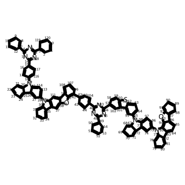 c1ccc(-c2nc(-c3ccccc3)nc(-c3ccc(-n4c5ccccc5c5cc(-n6c7ccccc7c7cc8oc9c(-c%10ccc(-c%11nc(-c%12ccccc%12)nc(-c%12ccc%13sc%14ccc(-n%15c%16ccccc%16c%16cc(-n%17c%18ccccc%18c%18ccc%19c%20ccccc%20oc%19c%18%17)ccc%16%15)cc%14c%13c%12)n%11)cc%10)cccc9c8cc76)ccc54)cc3)n2)cc1